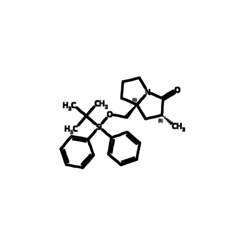 C[C@@H]1C[C@]2(CO[Si](c3ccccc3)(c3ccccc3)C(C)(C)C)CCCN2C1=O